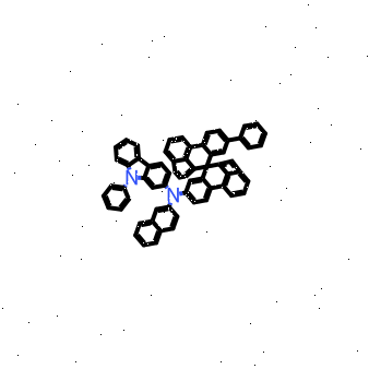 c1ccc(-c2ccc3c(c2)C2(c4cc(N(c5ccc6ccccc6c5)c5ccc6c7ccccc7n(-c7ccccc7)c6c5)ccc4-c4cccc5cccc2c45)c2cccc4cccc-3c24)cc1